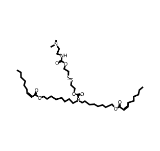 CCCCCC/C=C\C(=O)OCCCCCCCCN(CCCCCCCCOC(=O)/C=C\CCCCCC)C(=O)OCCSSCCOC(=O)NCCN(C)C